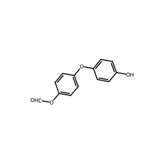 O=COc1ccc(Oc2ccc(O)cc2)cc1